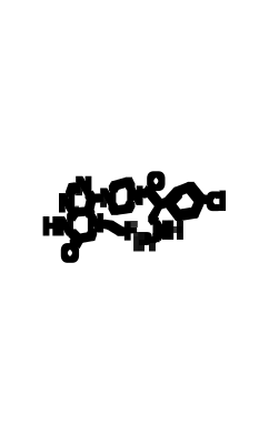 CC(C)NC[C@@H](C(=O)N1CCN(C2N=CN=C3NC(=O)CN(CCF)C32)CC1)c1ccc(Cl)cc1